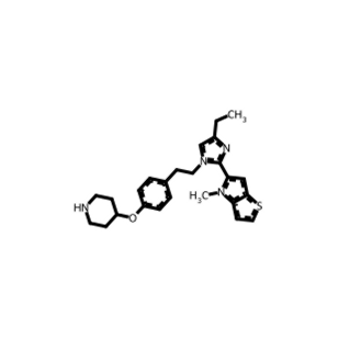 CCc1cn(CCc2ccc(OC3CCNCC3)cc2)c(-c2cc3sccc3n2C)n1